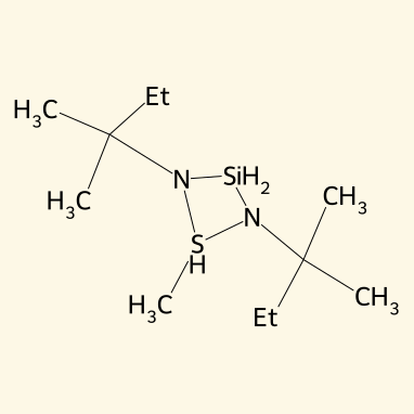 CCC(C)(C)N1[SiH2]N(C(C)(C)CC)[SH]1C